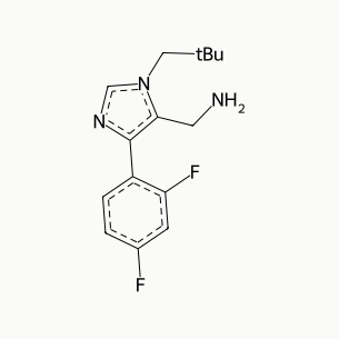 CC(C)(C)Cn1cnc(-c2ccc(F)cc2F)c1CN